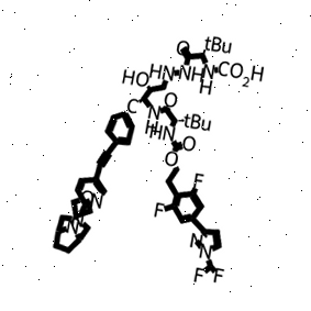 CC(C)(C)[C@H](NC(=O)O)C(=O)NNC[C@H](O)[C@H](Cc1ccc(C#Cc2ccc(N3CC4CCC(C3)N4C3COC3)nc2)cc1)NC(=O)[C@@H](NC(=O)OCCc1c(F)cc(-c2ccn(C(F)F)n2)cc1F)C(C)(C)C